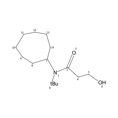 CC(C)(C)N(C(=O)CCO)C1CCCCCCC1